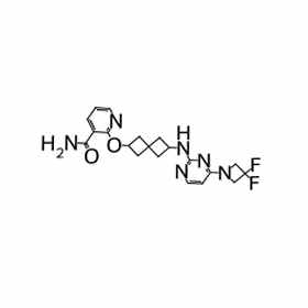 NC(=O)c1cccnc1OC1CC2(CC(Nc3nccc(N4CC(F)(F)C4)n3)C2)C1